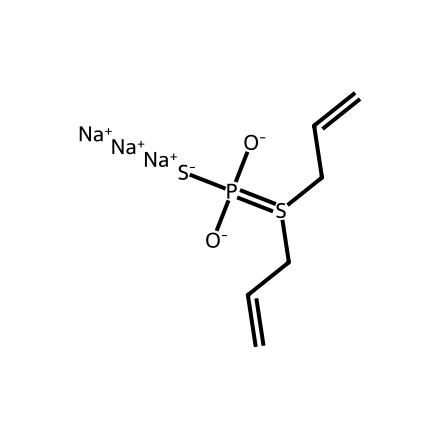 C=CCS(CC=C)=P([O-])([O-])[S-].[Na+].[Na+].[Na+]